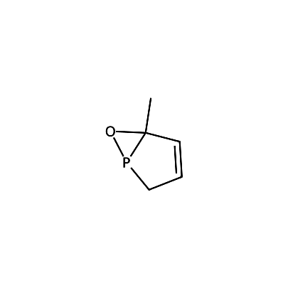 CC12C=CCP1O2